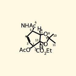 CCOC(=O)[C@]1(OC(C)=O)C=C[C@@H](NC(C)=O)[C@@H]2OC(C)(C)O[C@@H]21